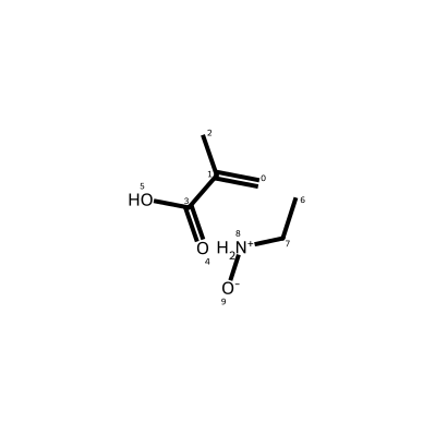 C=C(C)C(=O)O.CC[NH2+][O-]